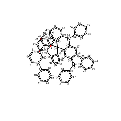 c1ccc(-c2cccc(-c3cccc(-c4cccc(-n5c6ccccc6c6cc7c(cc65)C5(c6ccccc6-c6ccccc65)c5ccccc5N7c5ccccc5)c4)c3)c2)cc1